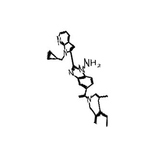 C=C1CN(C(=C)c2ccc3c(c2)nc(-c2cc4cccnc4n2CC2CC2)n3N)CC(C)C1CC